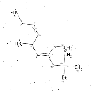 C=C/C(=C\C(C)/C=C\CN)CC(C)(C)CC